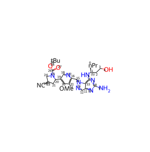 CCC[C@@H](CCO)Nc1nc(N)nc2cnn(Cc3ncc(C4C[C@@H](C#N)CN4C(=O)OC(C)(C)C)cc3OC)c12